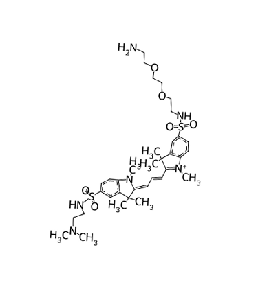 CN(C)CCNS(=O)(=O)c1ccc2c(c1)C(C)(C)/C(=C/C=C/C1=[N+](C)c3ccc(S(=O)(=O)NCCOCCOCCN)cc3C1(C)C)N2C